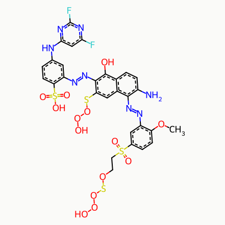 COc1ccc(S(=O)(=O)CCOSOOO)cc1/N=N/c1c(N)ccc2c(O)c(/N=N/c3cc(Nc4cc(F)nc(F)n4)ccc3S(=O)(=O)O)c(SOOO)cc12